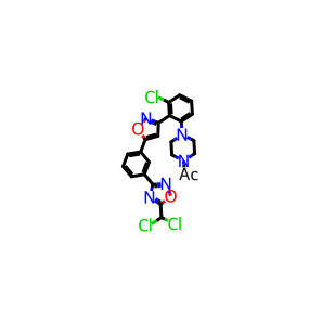 CC(=O)N1CCN(c2cccc(Cl)c2-c2cc(-c3cccc(-c4noc(C(Cl)Cl)n4)c3)on2)CC1